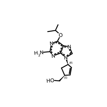 CC(C)Oc1nc(N)nc2c1ncn2[C@H]1C=C[C@@H](CO)C1